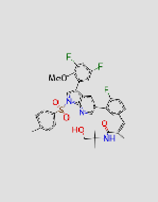 COc1c(F)cc(F)cc1-c1cn(S(=O)(=O)c2ccc(C)cc2)c2ncc(-c3cc(C=C(C)C(=O)NC(C)(C)CO)ccc3F)cc12